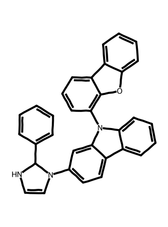 C1=CN(c2ccc3c4ccccc4n(-c4cccc5c4oc4ccccc45)c3c2)C(c2ccccc2)N1